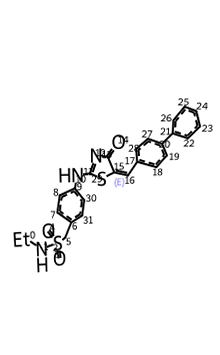 CCNS(=O)(=O)Cc1ccc(NC2=NC(=O)/C(=C\c3ccc(-c4ccccc4)cc3)S2)cc1